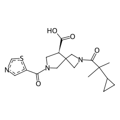 CC(C)(C(=O)N1CC2(CN(C(=O)c3cncs3)C[C@H]2C(=O)O)C1)C1CC1